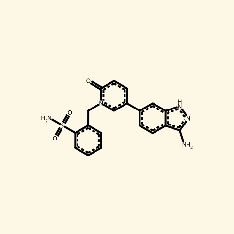 Nc1n[nH]c2cc(-c3ccc(=O)n(Cc4ccccc4S(N)(=O)=O)c3)ccc12